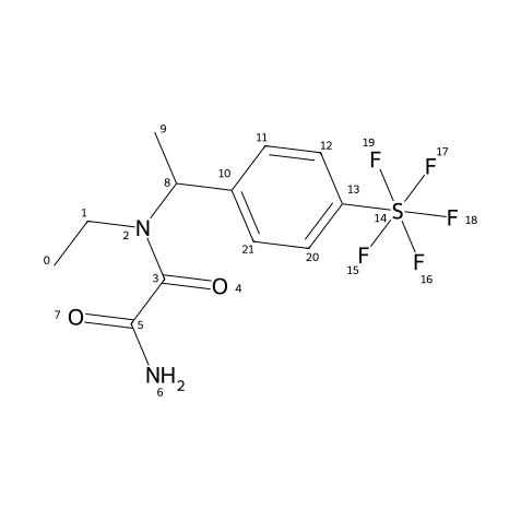 CCN(C(=O)C(N)=O)C(C)c1ccc(S(F)(F)(F)(F)F)cc1